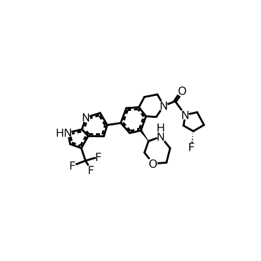 O=C(N1CCc2cc(-c3cnc4[nH]cc(C(F)(F)F)c4c3)cc([C@@H]3COCCN3)c2C1)N1CC[C@H](F)C1